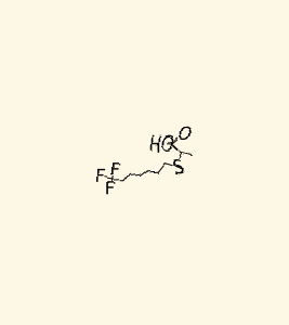 CC(SCCCCCCC(F)(F)F)C(=O)O